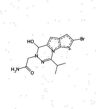 CC(C)C1=NN(CC(N)=O)C(O)c2cc3cc(Br)sc3n21